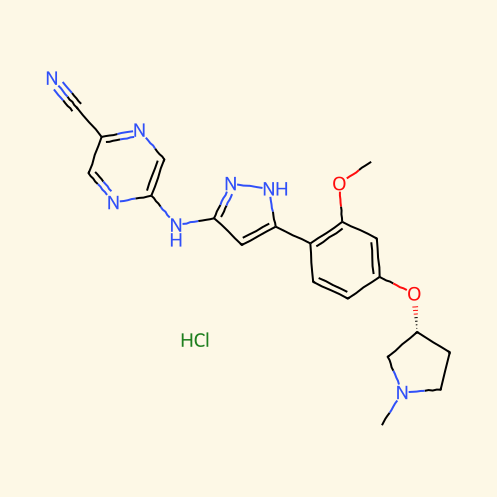 COc1cc(O[C@@H]2CCN(C)C2)ccc1-c1cc(Nc2cnc(C#N)cn2)n[nH]1.Cl